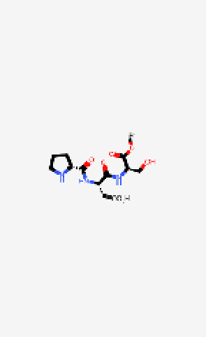 CC(C)OC(=O)[C@@H](CO)NC(=O)[C@H](CC(=O)O)NC(=O)[C@H]1CCCN1